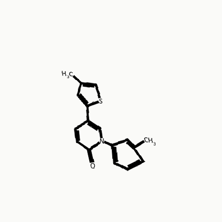 Cc1cccc(-n2cc(-c3cc(C)cs3)ccc2=O)c1